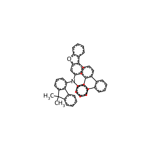 CC1(C)c2ccccc2-c2c(N(c3ccc4c(c3)oc3ccccc34)c3ccccc3-c3ccccc3-c3ccccc3-c3ccccc3)cccc21